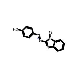 CCn1c(/N=N/c2ccc(O)cc2)nc2ccccc21